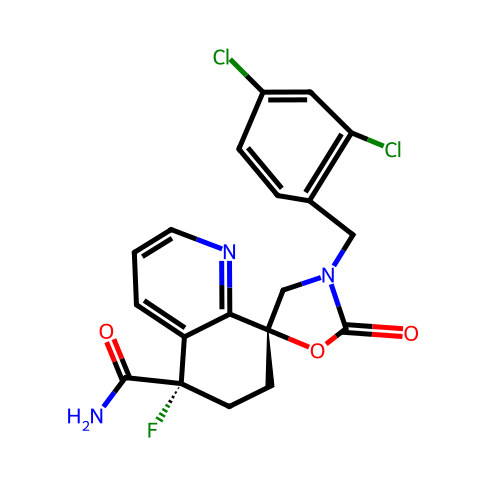 NC(=O)[C@]1(F)CC[C@]2(CN(Cc3ccc(Cl)cc3Cl)C(=O)O2)c2ncccc21